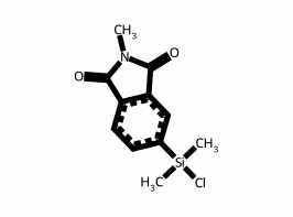 CN1C(=O)c2ccc([Si](C)(C)Cl)cc2C1=O